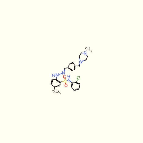 CN1CCN(Cc2ccc(/C=N/Nc3ccc([N+](=O)[O-])cc3S(=O)(=O)Nc3ccccc3Cl)cc2)CC1